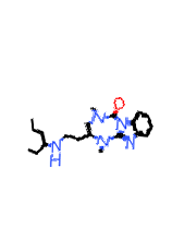 CCCC(CC)NCCC1CN(C)C(=O)n2c(nc3ccccc32)N1C